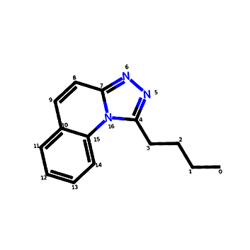 CCCCc1nnc2ccc3ccccc3n12